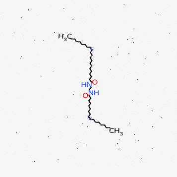 CCCCCCCC/C=C\CCCCCCCCCCCC(=O)NCCNC(=O)CCCCCCC/C=C\CCCCCCCC